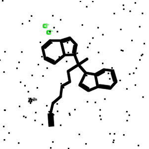 C#CCCCCCC(C)(C1=CC=C2C=CC=CC21)C1C=Cc2ccccc21.[Cl-].[Cl-].[Zr+2]